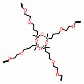 C=COCCOCCC[Si]1(C)O[Si](C)(CCCOCCOC=C)O[Si](C)(CCCOCCOC=C)O[Si](C)(CCCOCCOC=C)O1